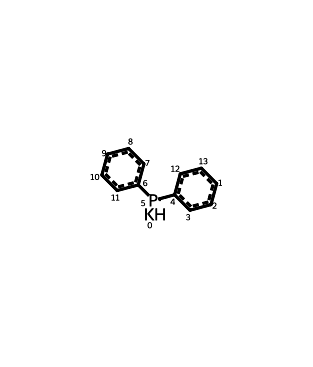 [KH].c1ccc([P]c2ccccc2)cc1